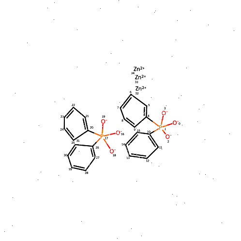 [O-]P([O-])([O-])(c1ccccc1)c1ccccc1.[O-]P([O-])([O-])(c1ccccc1)c1ccccc1.[Zn+2].[Zn+2].[Zn+2]